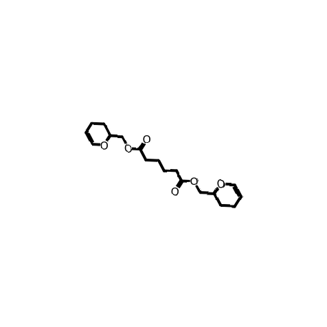 O=C(CCCCC(=O)OCC1CCC=CO1)OCC1CCC=CO1